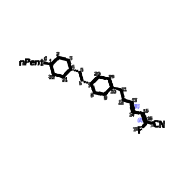 CCCCC[C@H]1CC[C@H](CC[C@H]2CC[C@H](CC/C=C/C=C(\F)C#N)CC2)CC1